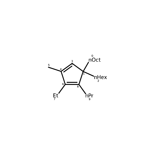 CCCCCCCCC1(CCCCCC)[C]=C(C)C(CC)=C1CCC